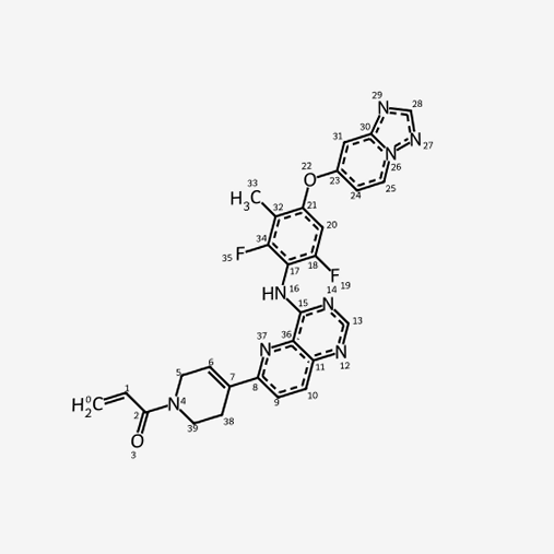 C=CC(=O)N1CC=C(c2ccc3ncnc(Nc4c(F)cc(Oc5ccn6ncnc6c5)c(C)c4F)c3n2)CC1